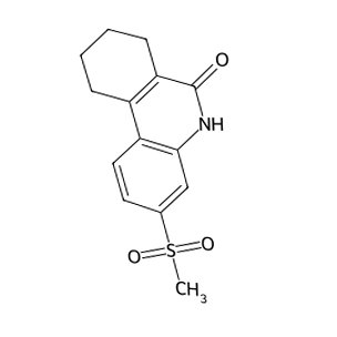 CS(=O)(=O)c1ccc2c3c(c(=O)[nH]c2c1)CCCC3